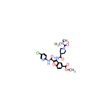 COC(=O)c1ccc2oc(C(=O)Nc3ccc(Cl)cn3)c(NC(=O)C3CCN(C(=O)N(C)C)CC3)c2c1